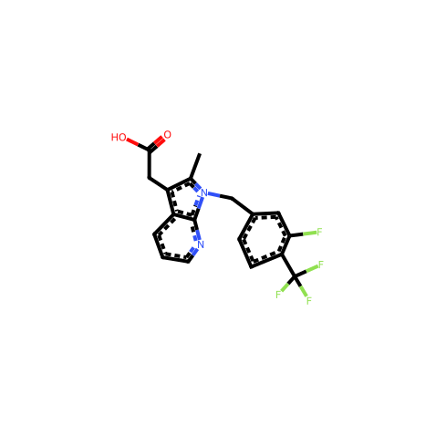 Cc1c(CC(=O)O)c2cccnc2n1Cc1ccc(C(F)(F)F)c(F)c1